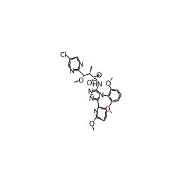 COc1cccc(-c2nnc(NS(=O)(=O)[C@H](C)[C@H](OC)c3ncc(Cl)cn3)n2-c2c(OC)cccc2OC)n1